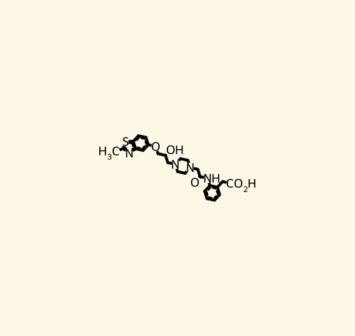 Cc1nc2cc(OC[C@@H](O)CN3CCN(CC(=O)Nc4ccccc4CC(=O)O)CC3)ccc2s1